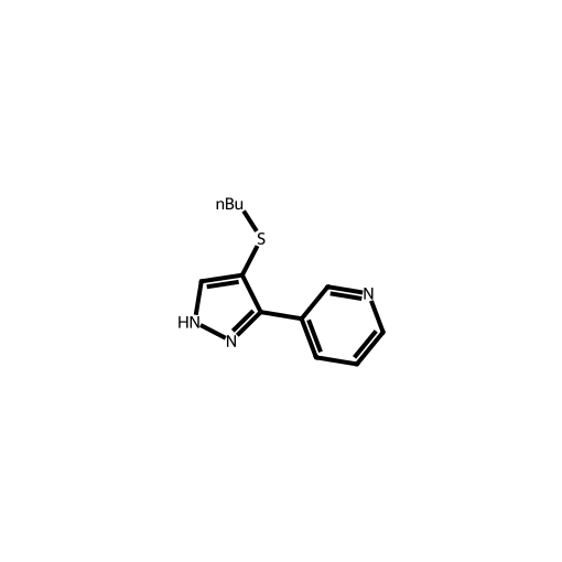 CCCCSc1c[nH]nc1-c1cccnc1